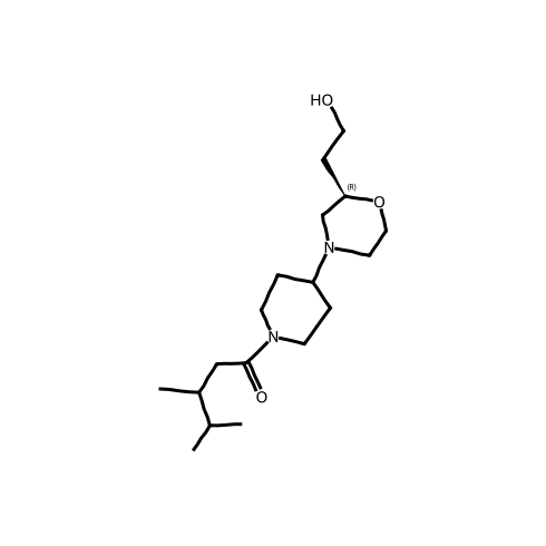 CC(C)C(C)CC(=O)N1CCC(N2CCO[C@H](CCO)C2)CC1